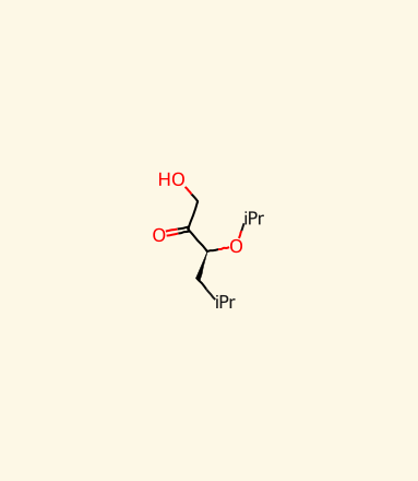 CC(C)C[C@H](OC(C)C)C(=O)CO